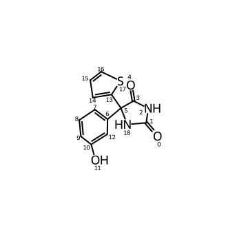 O=C1NC(=O)C(c2cccc(O)c2)(c2cccs2)N1